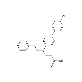 O=C(O)CCC(C[S@@+]([O-])c1ccccc1)c1ccc(-c2ccc(Cl)cc2)cc1